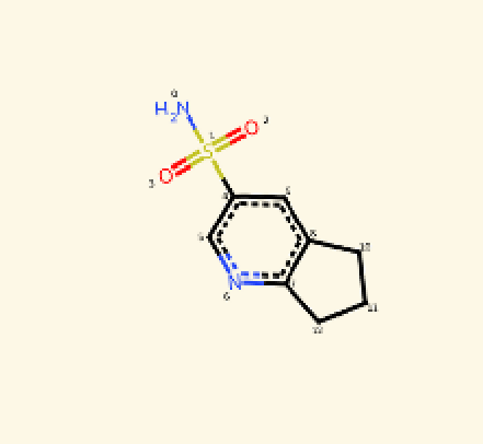 NS(=O)(=O)c1cnc2c(c1)CCC2